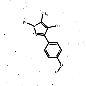 CCCOc1ccc(-c2nn(C(C)C)c(C)c2O)cc1